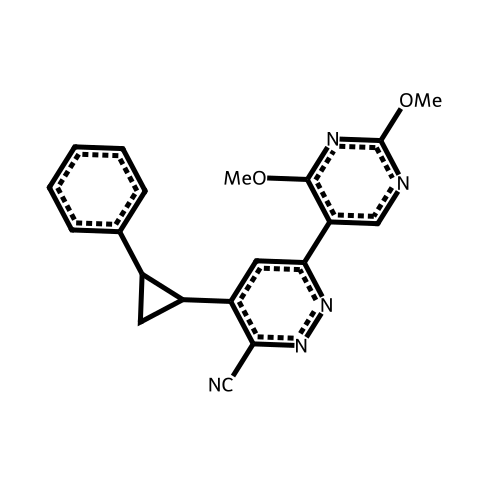 COc1ncc(-c2cc(C3CC3c3ccccc3)c(C#N)nn2)c(OC)n1